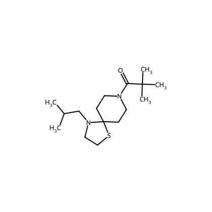 CC(C)CN1CCSC12CCN(C(=O)C(C)(C)C)CC2